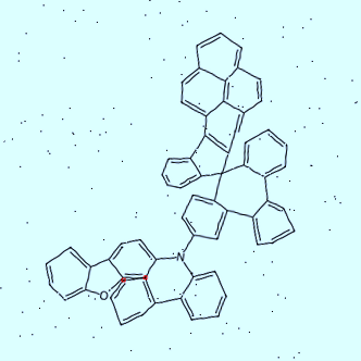 c1ccc(-c2ccccc2N(c2ccc3c(c2)-c2ccccc2-c2ccccc2C32c3ccccc3-c3c2cc2ccc4cccc5ccc3c2c45)c2ccc3c(c2)oc2ccccc23)cc1